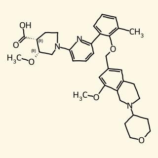 COc1cc(COc2c(C)cccc2-c2cccc(N3CC[C@@H](C(=O)O)[C@@H](OC)C3)n2)cc2c1CN(C1CCOCC1)CC2